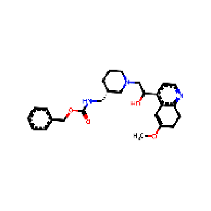 COC1=Cc2c(C(O)CN3CCC[C@@H](CNC(=O)OCc4ccccc4)C3)ccnc2CC1